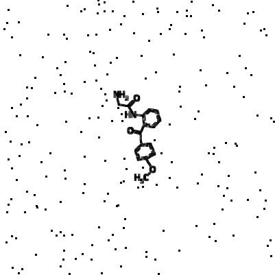 COc1ccc(C(=O)c2ccccc2NC(=O)CN)cc1